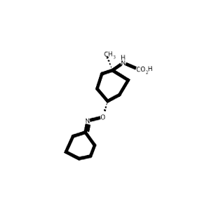 C[C@]1(NC(=O)O)CC[C@H](ON=C2CCCCC2)CC1